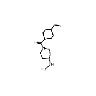 CNC1CCN(C(=O)C2CCC(C=O)CC2)CC1